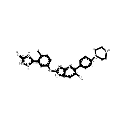 Cc1ccc(Oc2nc3nc(-c4ccc(N5CCOCC5)cc4)c(Cl)cc3[nH]2)cc1-c1n[nH]c(=O)o1